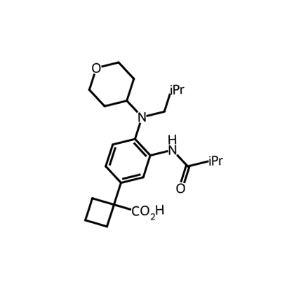 CC(C)CN(c1ccc(C2(C(=O)O)CCC2)cc1NC(=O)C(C)C)C1CCOCC1